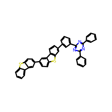 c1ccc(-c2nc(-c3ccccc3)nc(-c3cccc(-c4ccc5c(c4)sc4ccc(-c6ccc7sc8ccccc8c7c6)cc45)c3)n2)cc1